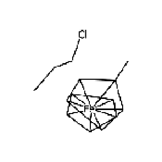 CCCCl.C[C]12[CH]3[CH]4[CH]5[CH]1[Fe]45321678[CH]2[CH]1[CH]6[CH]7[CH]28